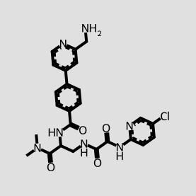 CN(C)C(=O)C(CNC(=O)C(=O)Nc1ccc(Cl)cn1)NC(=O)c1ccc(-c2ccnc(CN)c2)cc1